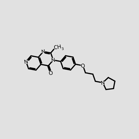 Cc1nc2cnccc2c(=O)n1-c1ccc(OCCCN2CCCC2)cc1